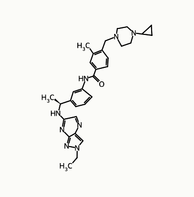 CCn1cc2ncc(N[C@@H](C)c3cccc(NC(=O)c4ccc(CN5CCN(C6CC6)CC5)c(C)c4)c3)nc2n1